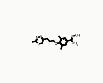 CC1=NN=C(CCCOc2c(C)cc(C(N)=NO)cc2C)CS1